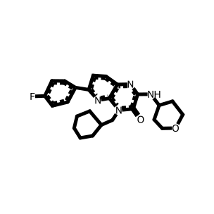 O=c1c(NC2CCOCC2)nc2ccc(-c3ccc(F)cc3)nc2n1CC1CCCCC1